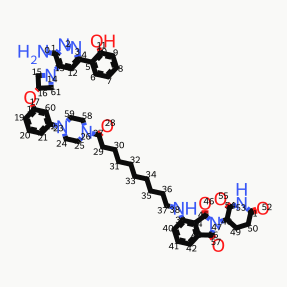 Nc1nnc(-c2ccccc2O)cc1N1CC(Oc2cccc(N3CCN(C(=O)CCCCCCCCCNc4cccc5c4C(=O)N(C4CCC(=O)NC4=O)C5=O)CC3)c2)C1